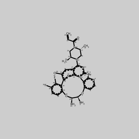 B[C@@H]1Oc2ccnc(C(C)C)c2-n2c(=O)nc(N3C[C@@H](C)N(C(=O)C=C)C[C@@H]3C)c3cc(Cl)c(nc32)-c2c(ccc(F)c2F)O[C@@H]1B